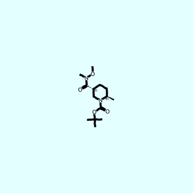 CON(C)C(=O)[C@@H]1CC[C@@H](C)N(C(=O)OC(C)(C)C)C1